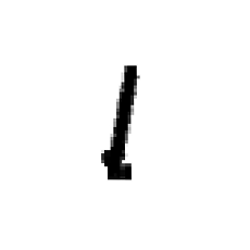 CCCCCCCCCCCCCCCCCCCC[S+]([O-])CCO